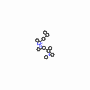 c1ccc(-n2c3ccccc3c3c4ccccc4c(-c4ccc5c(c4)c4ccccc4n5-c4nc(-c5ccc(-c6cccc7ccccc67)cc5)c5ccccc5n4)cc32)cc1